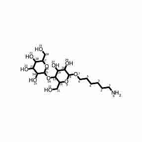 NCCCCCCOC1OC(CO)C(OC2OC(CO)C(O)C(O)C2O)C(O)C1O